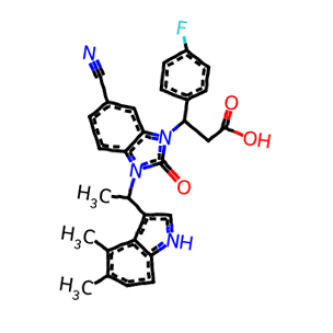 Cc1ccc2[nH]cc(C(C)n3c(=O)n(C(CC(=O)O)c4ccc(F)cc4)c4cc(C#N)ccc43)c2c1C